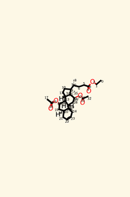 CCOC(=O)CC[C@@H](C)C1CC[C@H]2[C@@H]3[C@H](OC(C)=O)C[C@@H]4CC=CC[C@]4(C)[C@H]3C[C@H](OC(C)=O)[C@]12C